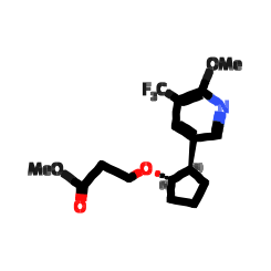 COC(=O)CCO[C@H]1CCC[C@@H]1c1cnc(OC)c(C(F)(F)F)c1